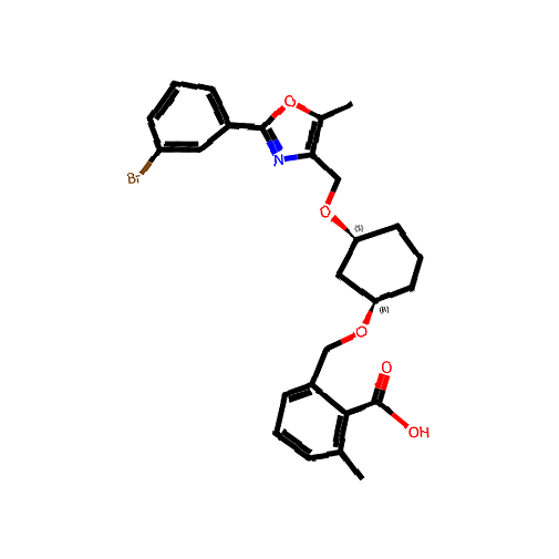 Cc1cccc(CO[C@@H]2CCC[C@H](OCc3nc(-c4cccc(Br)c4)oc3C)C2)c1C(=O)O